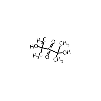 CC(C)(O)S(=O)(=O)C(C)(C)O